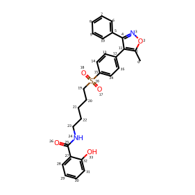 Cc1onc(-c2ccccc2)c1-c1ccc(S(=O)(=O)CCCCCNC(=O)c2ccccc2O)cc1